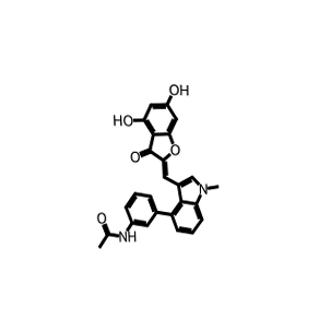 CC(=O)Nc1cccc(-c2cccc3c2c(C=C2Oc4cc(O)cc(O)c4C2=O)cn3C)c1